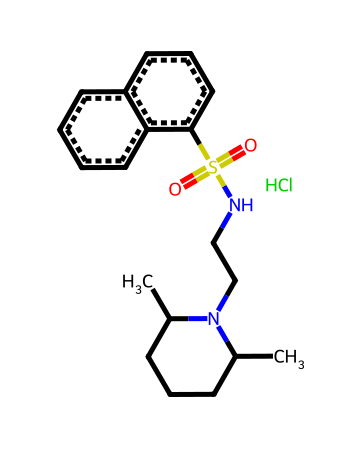 CC1CCCC(C)N1CCNS(=O)(=O)c1cccc2ccccc12.Cl